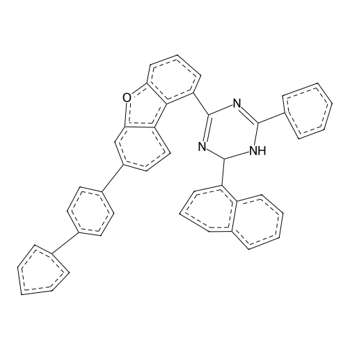 c1ccc(C2=NC(c3cccc4oc5cc(-c6ccc(-c7ccccc7)cc6)ccc5c34)=NC(c3cccc4ccccc34)N2)cc1